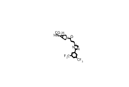 O=C(O)NC1C2CN(C(=O)/C=C/n3cnc(-c4cc(C(F)(F)F)cc(C(F)(F)F)c4)n3)CC21